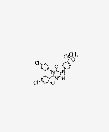 CS(=O)(=O)c1ccc(-n2cnc3nc(-c4ccc(Cl)cc4Cl)n(-c4ccc(Cl)cc4)c(=O)c32)cc1